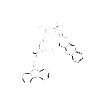 O=C(NCCOP(=O)(O)OP(=O)(O)OCOc1cc2ccccc2nc1C(=O)O)OCC1c2ccccc2-c2ccccc21